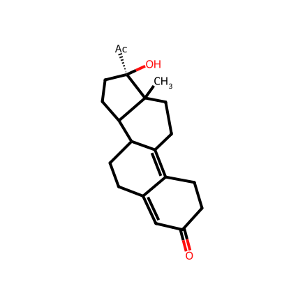 CC(=O)[C@@]1(O)CCC2C3CCC4=CC(=O)CCC4=C3CCC21C